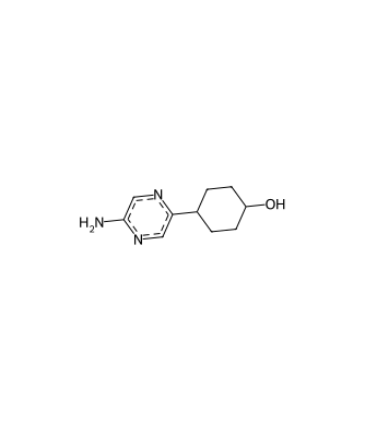 Nc1cnc(C2CCC(O)CC2)cn1